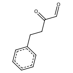 O=CC(=O)CCc1ccccc1